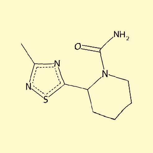 Cc1nsc(C2CCCCN2C(N)=O)n1